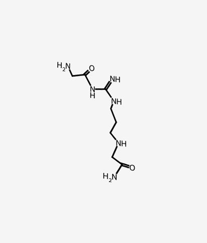 N=C(NCCCNCC(N)=O)NC(=O)CN